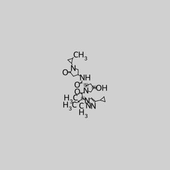 CC1CC1N1CC(NC(=O)[C@@H]2C[C@@H](O)CN2C(=O)[C@@H](n2cc(C3CC3)nn2)C(C)(C)C)CC1=O